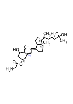 C=C1/C(=C\C=C2CCC[C@@]3(C)C2CC[C@@H]3[C@H](C)CCCC(C)(C)O)C[C@@H](OC(=O)CN)CC1O